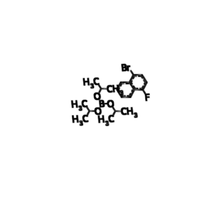 CC(C)OB(OC(C)C)OC(C)C.Fc1ccc(Br)c2ccccc12